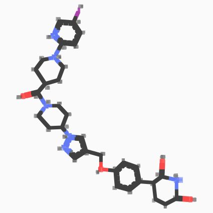 O=C1CCC(c2ccc(OCc3cnn(C4CCN(C(=O)C5CCN(c6ccc(I)cn6)CC5)CC4)c3)cc2)C(=O)N1